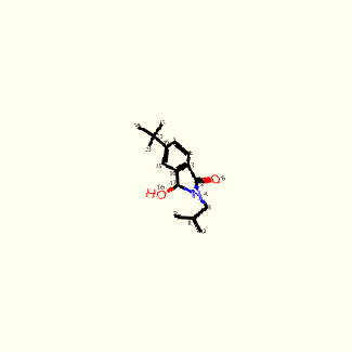 CC(C)CN1C(=O)c2ccc(C(C)(C)C)cc2C1O